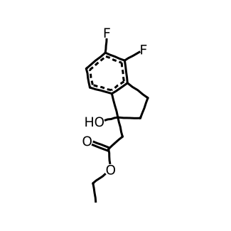 CCOC(=O)CC1(O)CCc2c1ccc(F)c2F